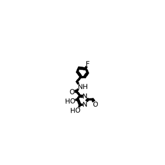 O=Cc1nc(O)c(O)c(C(=O)NCc2ccc(F)cc2)n1